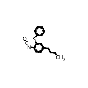 CCCCc1ccc(N=C=O)c(Sc2ccccc2)c1